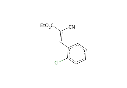 CCOC(=O)C(C#N)=Cc1ccccc1Cl